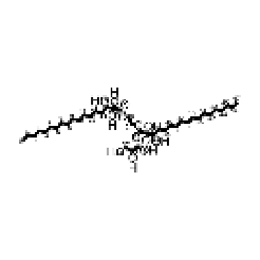 CCCCCCCCCCCCCCCC(O)C(O)(O)C(=O)OCCOC(=O)C(O)(O)C(O)CCCCCCCCCCCCCCC.OCC(O)CO